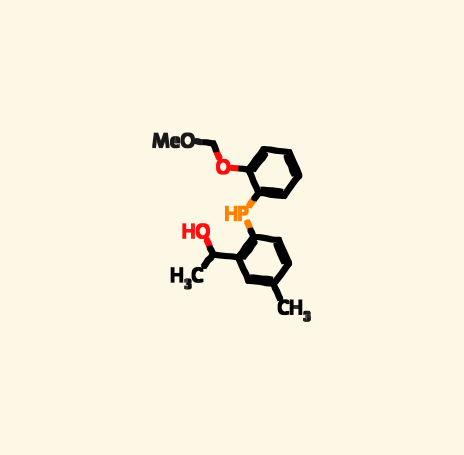 COCOc1ccccc1Pc1ccc(C)cc1C(C)O